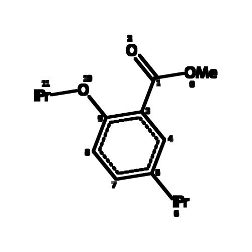 COC(=O)c1cc(C(C)C)ccc1OC(C)C